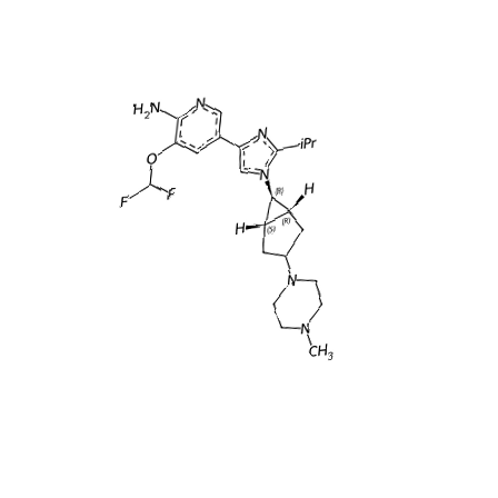 CC(C)c1nc(-c2cnc(N)c(OC(F)F)c2)cn1[C@H]1[C@@H]2CC(N3CCN(C)CC3)C[C@@H]21